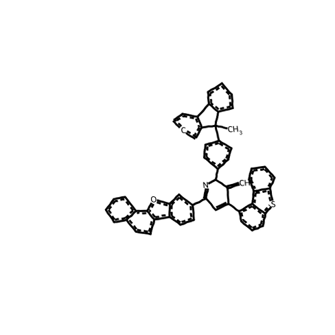 C=C1C(c2cccc3sc4ccccc4c23)=CC(c2ccc3c(c2)oc2c4ccccc4ccc32)=NC1c1ccc(C2(C)c3ccccc3-c3ccccc32)cc1